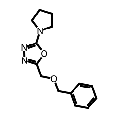 c1ccc(COCc2nnc(N3CCCC3)o2)cc1